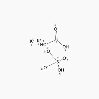 O=C(O)O.[K+].[K+].[O-][Si]([O-])(O)O